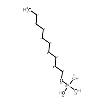 CCCCCCCCCCO[Si](O)(O)O